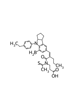 Bc1cc(/C=C(/CCC)C(=O)N(CCC(=O)O)C(C)=S)cc2c1N(c1ccc(CC)cc1)C1CCCC21